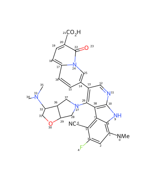 CNc1cc(F)c(C#N)c2c1[nH]c1ncc(-c3ccc4ccc(C(=O)O)c(=O)n4c3)c(N3CC4OCC(N(C)C)C4C3)c12